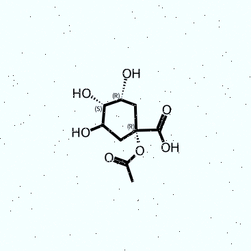 CC(=O)O[C@]1(C(=O)O)CC(O)[C@H](O)[C@H](O)C1